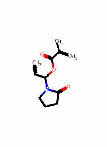 C=CC(OC(=O)C(=C)C)N1CCCC1=O